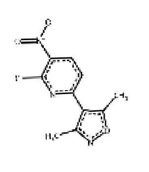 Cc1noc(C)c1-c1ccc([N+](=O)[O-])c(Cl)n1